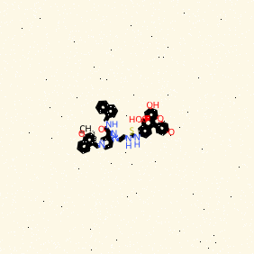 COc1ccc(CN2CCc3c(c(C(=O)NCc4cccc5ccccc45)nn3CCNC(=S)Nc3ccc(-c4c5ccc(=O)cc-5oc5cc(O)ccc45)c(C(=O)O)c3)C2)c2ccccc12